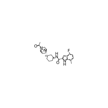 CC(=O)N1CC2CCC1CN2[C@H]1CCC[C@@H](NC(=O)c2cc3c(F)ccc(C)c3[nH]2)C1